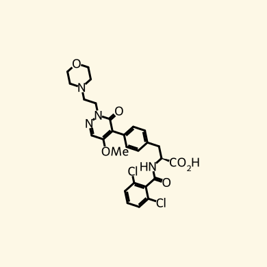 COc1cnn(CCN2CCOCC2)c(=O)c1-c1ccc(C[C@H](NC(=O)c2c(Cl)cccc2Cl)C(=O)O)cc1